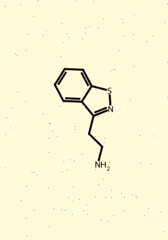 NCCc1nsc2ccccc12